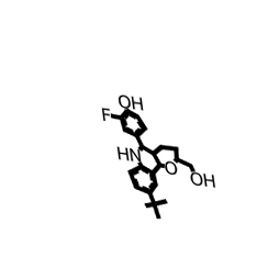 CC(C)(C)c1ccc2c(c1)C1OC(CO)CCC1C(c1ccc(O)c(F)c1)N2